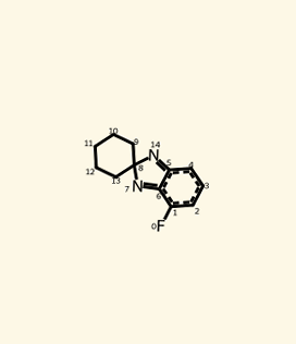 Fc1cccc2c1=NC1(CCCCC1)N=2